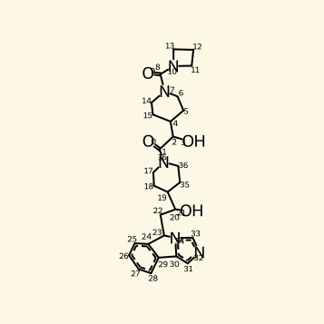 O=C(C(O)C1CCN(C(=O)N2CCC2)CC1)N1CCC(C(O)CC2c3ccccc3-c3cncn32)CC1